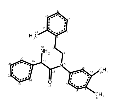 Cc1ccc(N(CCc2ccccc2C)C(=O)C(N)c2ccccc2)cc1C